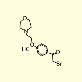 Cl.O=C(CBr)c1ccc(OCCN2CCOCC2)cc1